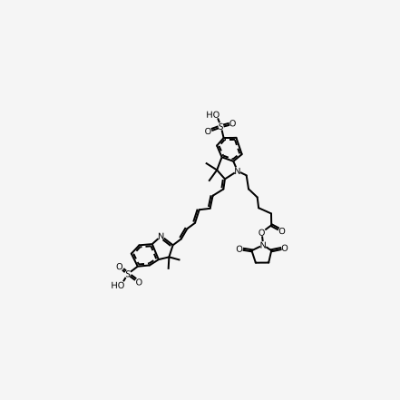 CC1(C)C(/C=C/C=C/C=C/C=C2/N(CCCCCC(=O)ON3C(=O)CCC3=O)c3ccc(S(=O)(=O)O)cc3C2(C)C)=Nc2ccc(S(=O)(=O)O)cc21